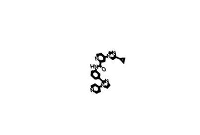 O=C(Nc1cccc(-c2nccn2-c2ccncc2)c1)c1cc(-n2cnc(C3CC3)c2)ccn1